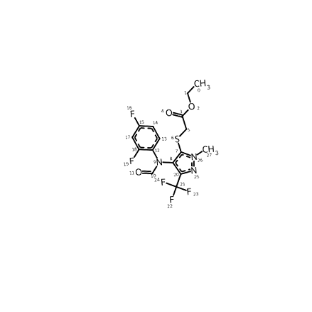 CCOC(=O)CSc1c(N(C=O)c2ccc(F)cc2F)c(C(F)(F)F)nn1C